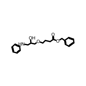 O=C(CCCOCC(O)CNc1ccccc1)OCc1ccccc1